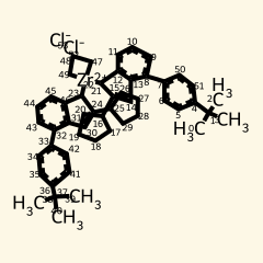 CC(C)(C)c1ccc(-c2cccc3c2C=C(C2CCCC2)[CH]3[Zr+2]2([CH]3C(C4CCCC4)=Cc4c(-c5ccc(C(C)(C)C)cc5)cccc43)[CH2]C[CH2]2)cc1.[Cl-].[Cl-]